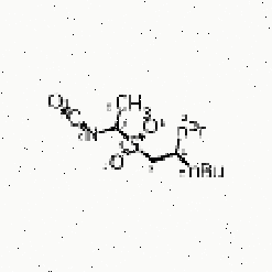 CCCCC(CCC)CS(=O)(=O)C(C)N=C=O